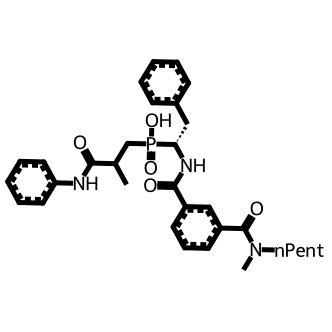 CCCCCN(C)C(=O)c1cccc(C(=O)N[C@@H](Cc2ccccc2)P(=O)(O)CC(C)C(=O)Nc2ccccc2)c1